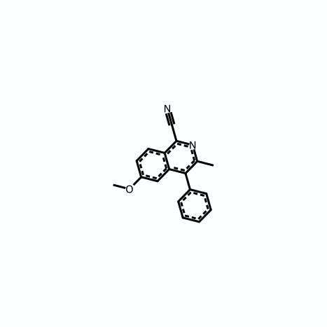 COc1ccc2c(C#N)nc(C)c(-c3ccccc3)c2c1